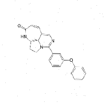 O=C1C=CC2=CN=C(c3cccc(Oc4ccccc4)c3)N3CCC(=C23)N1